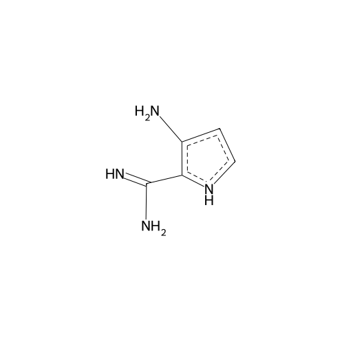 N=C(N)c1[nH]ccc1N